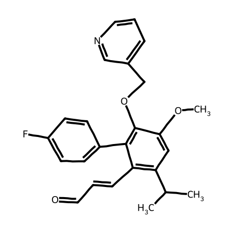 COc1cc(C(C)C)c(C=CC=O)c(-c2ccc(F)cc2)c1OCc1cccnc1